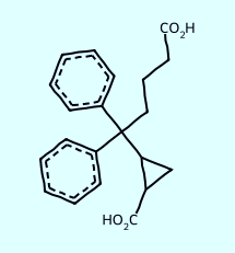 O=C(O)CCCC(c1ccccc1)(c1ccccc1)C1CC1C(=O)O